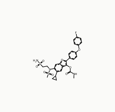 CNC(=O)Oc1c(-c2ccc(Oc3ccc(F)cc3)cc2)oc2cc(N(CCS(N)(=O)=O)S(C)(=O)=O)c(C3CC3)cc12